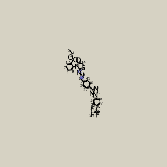 CCOC(=O)c1ccccc1N1C(=O)CS/C1=N\N=C\c1ccc(-c2ncn(-c3ccc(OC(F)(F)F)cc3)n2)cc1